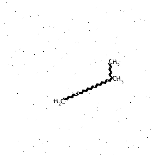 [CH2]CCCCCCCCCCCCCCCCCCCCC(C)CCCCC[CH2]